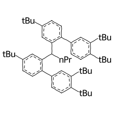 CCCC(c1cc(C(C)(C)C)ccc1-c1ccc(C(C)(C)C)c(C(C)(C)C)c1)c1cc(C(C)(C)C)ccc1-c1ccc(C(C)(C)C)c(C(C)(C)C)c1